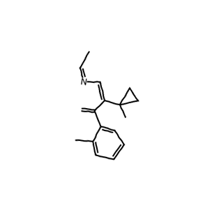 C=C(/C(=C\N=C/C)C1(C)CC1)c1ccccc1C